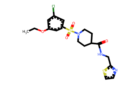 CCOc1cc(Cl)cc(S(=O)(=O)N2CCC(C(=O)NCc3nccs3)CC2)c1